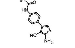 CC(C)C(=O)Nc1ccc(-c2csc(N)c2C#N)cc1